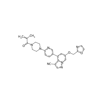 C=C(C)C(=O)N1CCN(c2ccc(-c3cc(OCc4ncco4)cn4ncc(C#N)c34)cn2)CC1